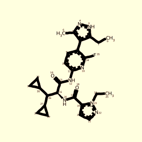 CCc1[nH]nc(C)c1-c1ccc(NC(=O)[C@@H](NC(=O)c2ccnn2CC)C(C2CC2)C2CC2)nc1F